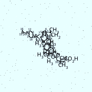 C=C(C)[C@@H]1CC[C@]2(CC(=O)N3CCN(C4CC4)CC3)CC[C@]3(C)[C@H](CC[C@@H]4[C@@]5(C)CC[C@H](OC(=O)CC(C)(C)CC(=O)O)C(C)(C)[C@@H]5CC[C@]43C)[C@@H]12